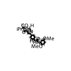 COc1ccc(OC)c(NC(=O)Nc2ccc(-c3cc(C(=O)N[C@H](C(=O)O)C(C)C)on3)cc2)c1